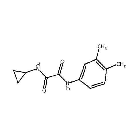 Cc1ccc(NC(=O)C(=O)NC2CC2)cc1C